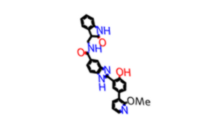 COc1ncccc1-c1ccc(O)c(-c2nc3cc(C(=O)NCC4C(=O)Nc5ccccc54)ccc3[nH]2)c1